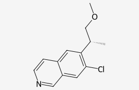 COC[C@H](C)c1cc2ccncc2cc1Cl